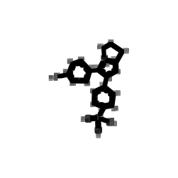 O=S(=O)(Cl)c1ccc(-c2cc3n(c2-c2ccc(F)cc2)CCC3)cc1